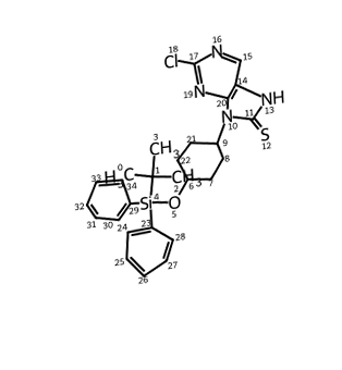 CC(C)(C)[Si](OC1CCC(n2c(=S)[nH]c3cnc(Cl)nc32)CC1)(c1ccccc1)c1ccccc1